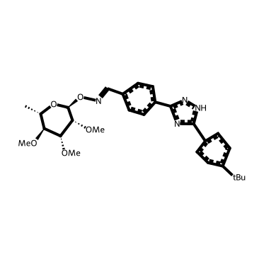 CO[C@@H]1[C@@H](OC)[C@H](C)O[C@@H](O/N=C/c2ccc(-c3n[nH]c(-c4ccc(C(C)(C)C)cc4)n3)cc2)[C@@H]1OC